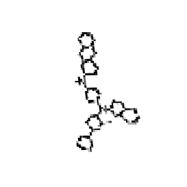 Cc1cc(-c2ccccc2)ccc1N(c1ccc(N(C)c2ccc3cc4ccccc4cc3c2)cc1)c1ccc2ccccc2c1